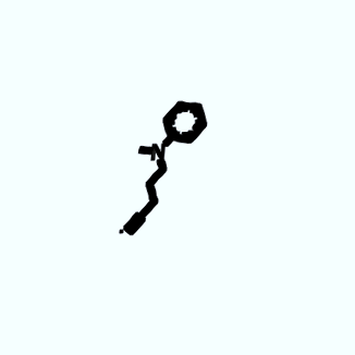 [C]#CCCCN(C)c1ccccc1